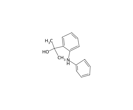 CC(C)(O)c1ccccc1Nc1ccccc1